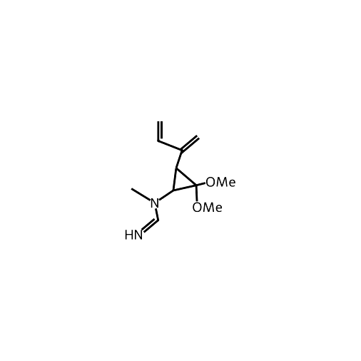 C=CC(=C)C1C(N(C)C=N)C1(OC)OC